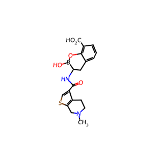 CN1CCc2c(C(=O)NC3Cc4cccc(C(=O)O)c4OB3O)csc2C1